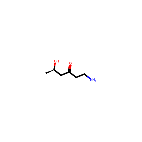 C[C@@H](O)CC(=O)CCN